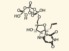 C=CC[C@@]1(n2ccc(=O)[nH]c2=O)O[C@H](COP(=O)(O)OP(=O)(O)OP(=O)(O)O)[C@@H](O)[C@H]1N